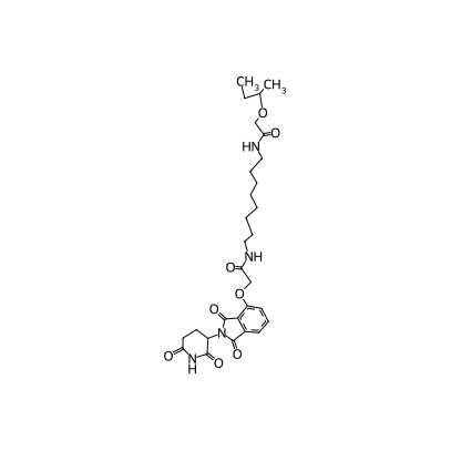 CCC(C)OCC(=O)NCCCCCCCCNC(=O)COc1cccc2c1C(=O)N(C1CCC(=O)NC1=O)C2=O